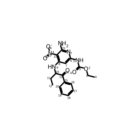 CCOC(=O)Nc1cc(NC(CC)C(=O)c2ccccc2)c([N+](=O)[O-])c(N)n1